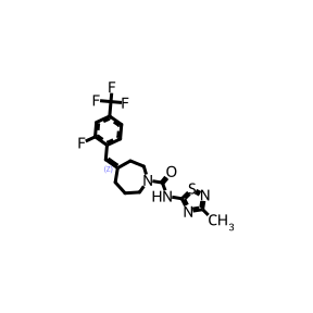 Cc1nsc(NC(=O)N2CCC/C(=C/c3ccc(C(F)(F)F)cc3F)CC2)n1